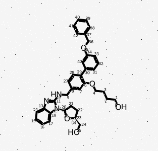 OCCCCOc1cc(CNc2nc3ccccc3n2[C@H]2CC[C@@H](CO)O2)ccc1-c1cccc(OCc2ccccc2)c1